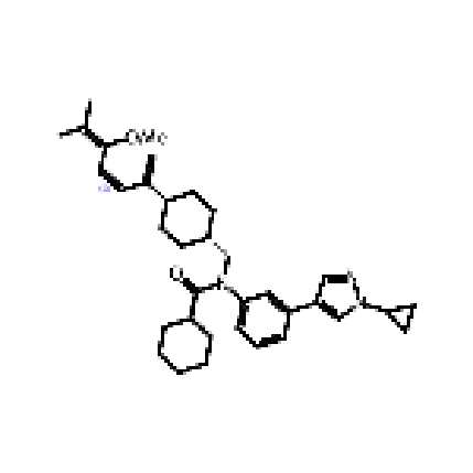 C=C(/C=C\C(OC)=C(C)C)[C@H]1CC[C@H](CN(C(=O)C2CCCCC2)c2cccc(-c3cnn(C4CC4)c3)c2)CC1